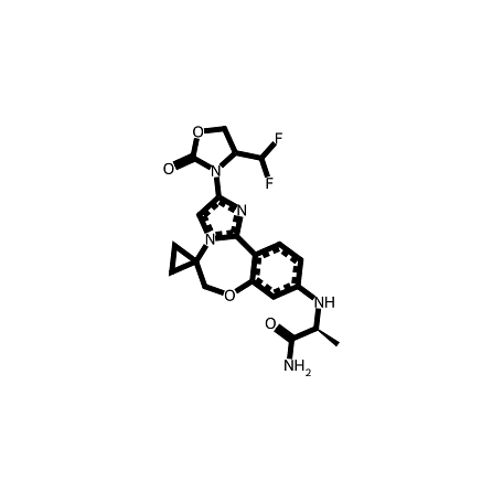 C[C@H](Nc1ccc2c(c1)OCC1(CC1)n1cc(N3C(=O)OCC3C(F)F)nc1-2)C(N)=O